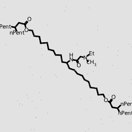 CCCCCC(CCCCC)CC(=O)OCCCCCCCCCCC(CCCCCCCCCCOC(=O)CC(CCCCC)CCCCC)NC(=O)CN(C)CC